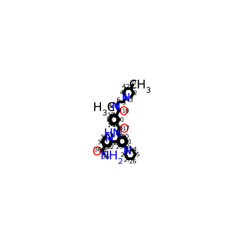 CC1CCN(CCN(C)C(=O)c2cccc(C(=O)Nc3ccc(N4CCCCC4)cc3-c3cc(C(N)=O)ccn3)c2)CC1